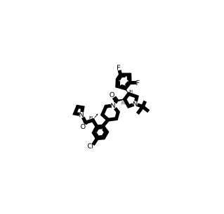 C[C@@H](C(=O)N1CCC1)c1cc(Cl)ccc1C1CCN(C(=O)[C@@H]2CN(C(C)(C)C)C[C@H]2c2ccc(F)cc2F)CC1